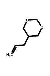 C=CCC1CO[CH]OC1